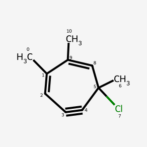 CC1=CC#CC(C)(Cl)C=C1C